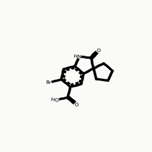 O=C(O)c1cc2c(cc1Br)NC(=O)C21CCCC1